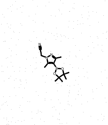 Cc1nn(CC#N)c(C)c1B1OC(C)(C)C(C)(C)O1